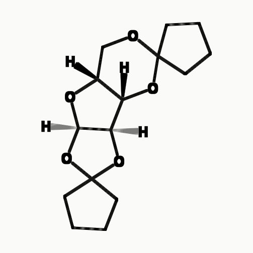 C1CCC2(C1)OC[C@H]1O[C@@H]3OC4(CCCC4)O[C@@H]3[C@H]1O2